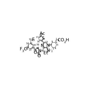 CCN(C[C@H]1CC[C@H](CC(=O)O)CC1)c1ncc(-c2ccc(C(C)=O)s2)nc1CN1C(=O)OC(c2cc(CF)cc(C(F)(F)F)c2)[C@@H]1C